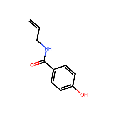 C=CCNC(=O)c1ccc(O)cc1